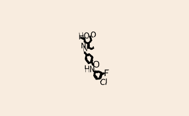 CCc1nn(Cc2ccc(C(=O)Nc3ccc(Cl)c(F)c3)cc2)c(CC)c1CC(=O)O